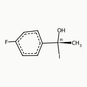 C[C@@](O)(I)c1ccc(F)cc1